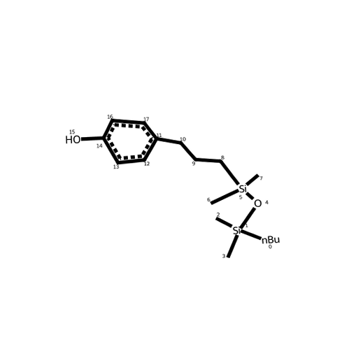 CCCC[Si](C)(C)O[Si](C)(C)CCCc1ccc(O)cc1